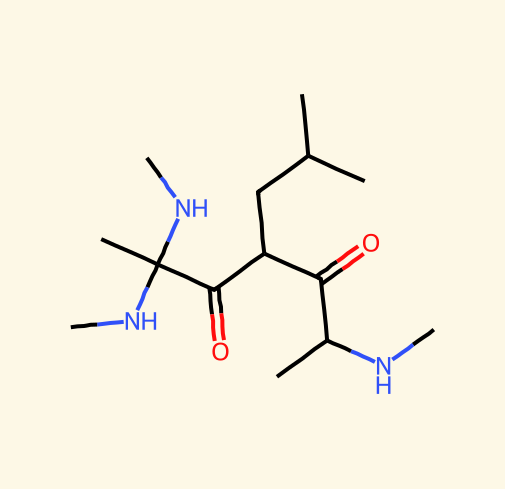 CNC(C)C(=O)C(CC(C)C)C(=O)C(C)(NC)NC